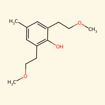 COCCc1cc(C)cc(CCOC)c1O